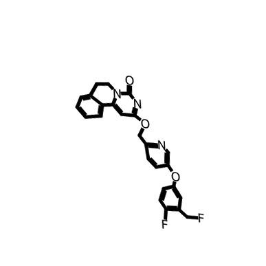 O=c1nc(OCc2ccc(Oc3ccc(F)c(CF)c3)cn2)cc2n1CCc1ccccc1-2